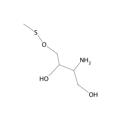 CSOCC(O)C(N)CO